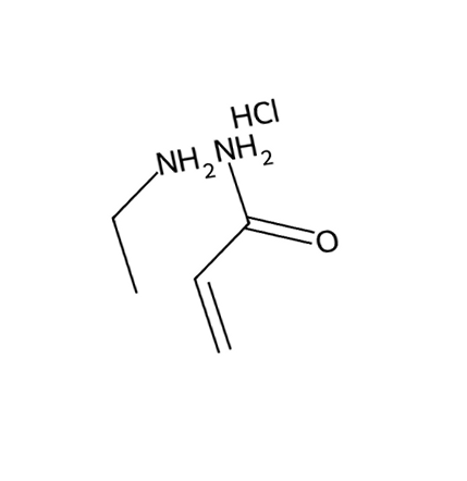 C=CC(N)=O.CCN.Cl